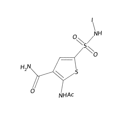 CC(=O)Nc1sc(S(=O)(=O)NI)cc1C(N)=O